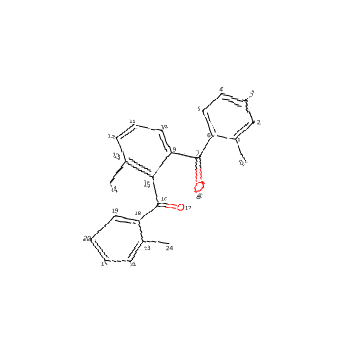 Cc1ccccc1C(=O)c1cccc(C)c1C(=O)c1ccccc1C